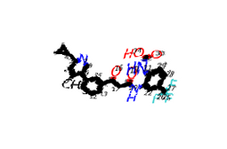 Cc1cc(C2CC2)ncc1-c1cccc(C(=O)CC(=O)Nc2cc(C(F)(F)F)ccc2NC(=O)O)c1